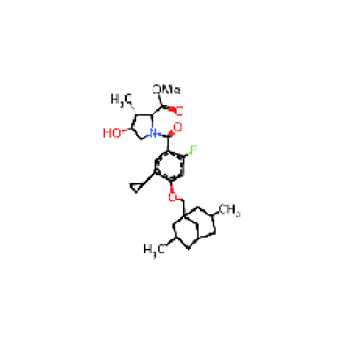 COC(=O)[C@@H]1[C@@H](C)[C@H](O)CN1C(=O)c1cc(C2CC2)c(OCC23CC(C)CC(CC(C)C2)C3)cc1F